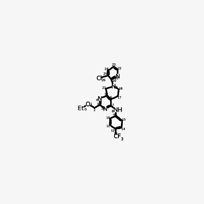 CCOCc1nc2c(c(Nc3ccc(C(F)(F)F)cc3)n1)CCN(c1ncccc1Cl)C2